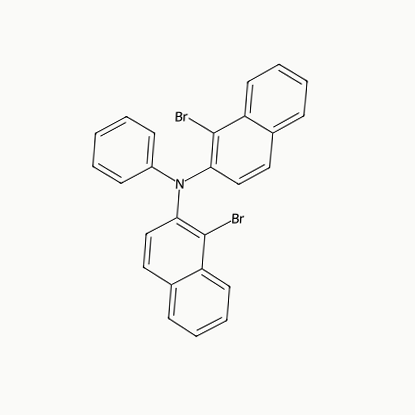 Brc1c(N(c2ccccc2)c2ccc3ccccc3c2Br)ccc2ccccc12